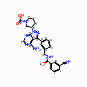 N#Cc1cccc(C(=O)NCc2cccc(-c3nn([C@@H]4CCCN(C(=O)O)C4)c4ncnc(N)c34)c2)c1